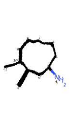 C=C1CC(N)CCCCCC1C